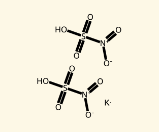 O=[N+]([O-])S(=O)(=O)O.O=[N+]([O-])S(=O)(=O)O.[K]